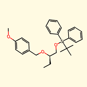 CC[C@H](CO[Si](c1ccccc1)(c1ccccc1)C(C)(C)C)OCc1ccc(OC)cc1